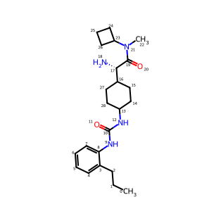 CCCc1ccccc1NC(=O)NC1CCC([C@H](N)C(=O)N(C)C2CCC2)CC1